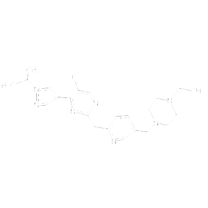 CCN1CCN(Cc2ccc(Cc3ncc(F)c(-c4cnn(C(C)C)c4)n3)nc2)CC1